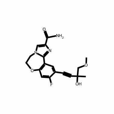 COCC(C)(O)C#Cc1cc2c(cc1F)OCCn1cc(C(N)=O)nc1-2